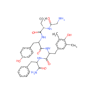 Cc1cc(CC(NC(=O)C(Cc2ccc(O)cc2)NC(=O)C(CC(=O)O)NC(=O)CN)C(=O)NC(Cc2ccccc2)C(N)=O)cc(C)c1O